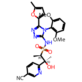 COc1cccc(OC)c1-n1c(NS(=O)(=O)[C@H](C)[C@@](C)(O)c2ccc(C#N)cn2)nnc1-c1ccc(C)o1